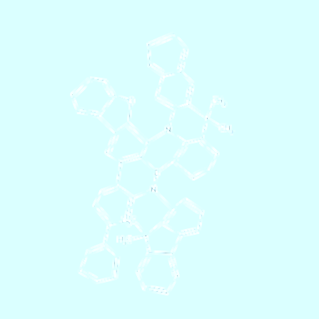 CC1(C)c2cc3ccccc3cc2N2c3c(cccc31)B1c3c(cc4c(oc5ccccc54)c32)-c2ccc(-c3ccccc3)cc2N1c1cccc2c1C(C)(C)c1ccccc1-2